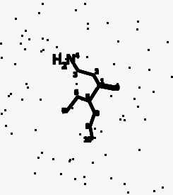 C=C(CCN)C(CC)CCC